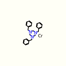 [Cr].c1ccc(CN2CN(Cc3ccccc3)CN(Cc3ccccc3)C2)cc1